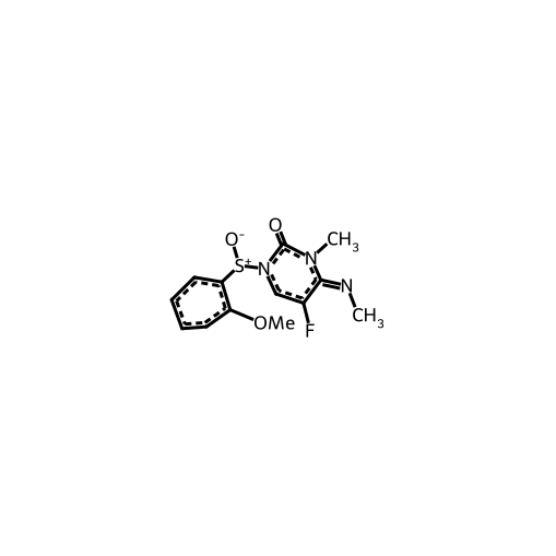 C/N=c1\c(F)cn([S+]([O-])c2ccccc2OC)c(=O)n1C